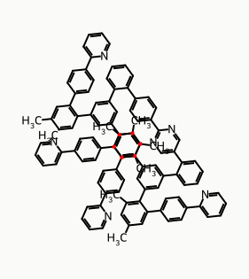 Cc1cc(C)c(-c2cc(-c3ccccc3-c3cnc(-c4ccc(-c5ccccc5-c5cc(-c6cc(C)c(C)cc6-c6ccc(-c7ccccn7)cc6)cc(-c6cc(C)c(C)cc6-c6ccc(-c7ccccn7)cc6)c5)cc4)nc3)cc(-c3cc(C)c(C)cc3-c3ccc(-c4ccccn4)cc3)c2)c(-c2ccc(-c3ccccn3)cc2)c1